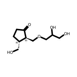 O=C1CC[C@@H](CO)[C@@H]1COCC(O)CO